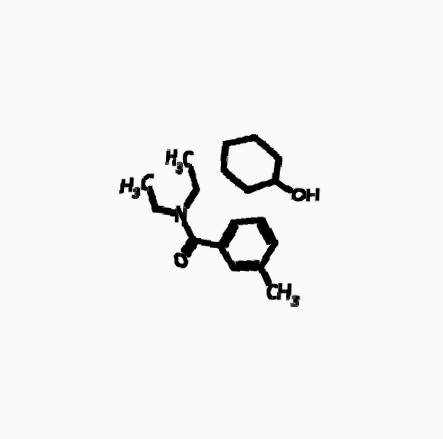 CCN(CC)C(=O)c1cccc(C)c1.OC1CCCCC1